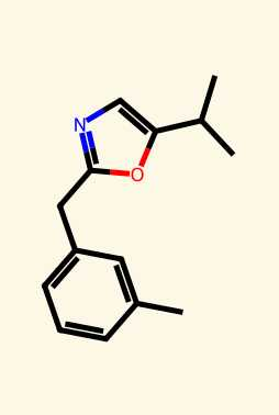 Cc1cccc(Cc2ncc(C(C)C)o2)c1